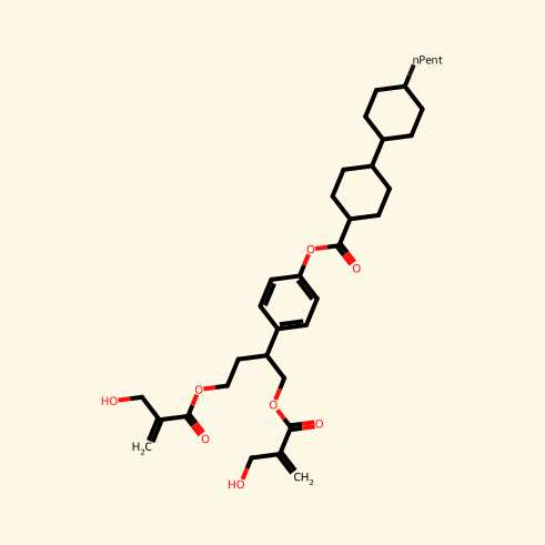 C=C(CO)C(=O)OCCC(COC(=O)C(=C)CO)c1ccc(OC(=O)C2CCC(C3CCC(CCCCC)CC3)CC2)cc1